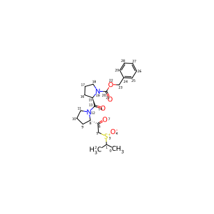 CC(C)[S+]([O-])CC(=O)[C@@H]1CCCN1C(=O)[C@H]1CCCN1C(=O)OCc1ccccc1